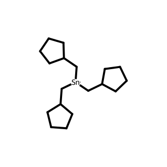 C1CCC([CH2][Sn]([CH2]C2CCCC2)[CH2]C2CCCC2)C1